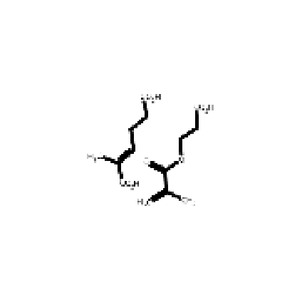 C=C(C)C(=O)OCCC(=O)O.CC(=CCCC(=O)O)C(=O)O